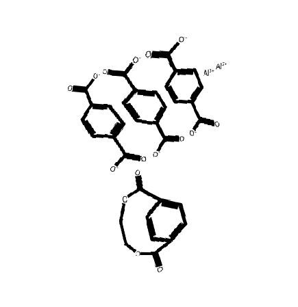 O=C([O-])c1ccc(C(=O)[O-])cc1.O=C([O-])c1ccc(C(=O)[O-])cc1.O=C([O-])c1ccc(C(=O)[O-])cc1.O=C1OCCOC(=O)c2ccc1cc2.[Al+3].[Al+3]